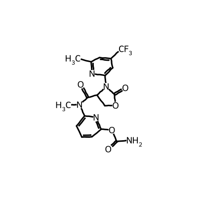 Cc1cc(C(F)(F)F)cc(N2C(=O)OCC2C(=O)N(C)c2cccc(OC(N)=O)n2)n1